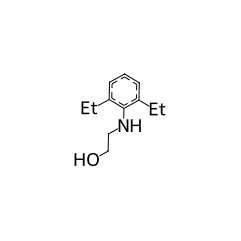 CCc1cccc(CC)c1NCCO